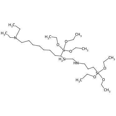 CCO[Si](CCCNC[SiH2]C(CCCCCCCN(CC)CC)[Si](OCC)(OCC)OCC)(OCC)OCC